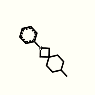 CC1CCC2(CC1)CN(c1ccccc1)C2